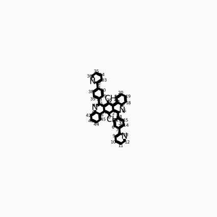 Cc1c2c(-c3ccc(-c4ccccn4)cc3)nc3ccccc3c2c(C)c2c(-c3ccc(-c4ccccn4)cc3)nc3ccccc3c12